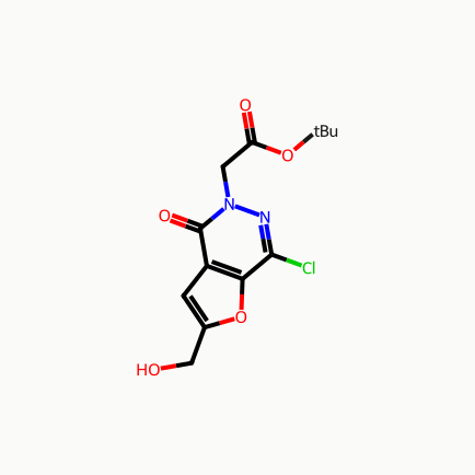 CC(C)(C)OC(=O)Cn1nc(Cl)c2oc(CO)cc2c1=O